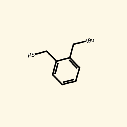 CC(C)(C)Cc1ccccc1CS